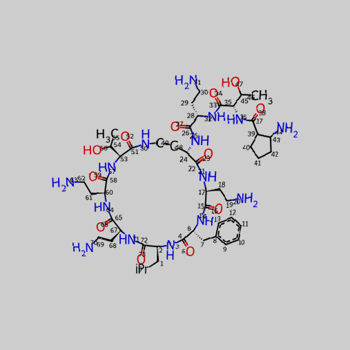 CC(C)C[C@@H]1NC(=O)[C@@H](Cc2ccccc2)NC(=O)[C@H](CCN)NC(=O)[C@@H](NC(=O)[C@H](CCN)NC(=O)[C@@H](NC(=O)C2CCCC2N)C(C)O)CCNC(=O)[C@H](C(C)O)NC(=O)[C@H](CCN)NC(=O)[C@H](CCN)NC1=O